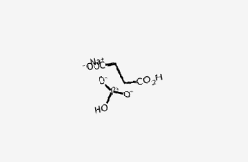 O=C([O-])CCC(=O)O.[Na+].[O-][I+2]([O-])O